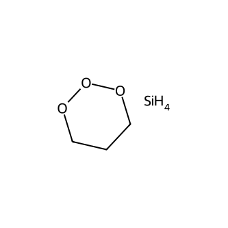 C1COOOC1.[SiH4]